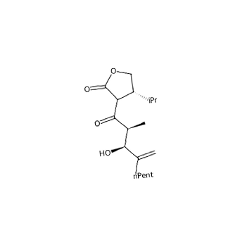 C=C(CCCCC)[C@@H](O)[C@H](C)C(=O)C1C(=O)OC[C@@H]1C(C)C